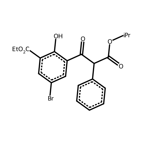 CCOC(=O)c1cc(Br)cc(C(=O)C(C(=O)OC(C)C)c2ccccc2)c1O